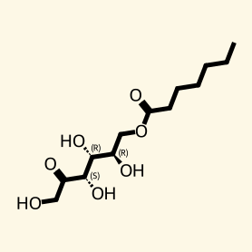 CCCCCCC(=O)OC[C@@H](O)[C@@H](O)[C@H](O)C(=O)CO